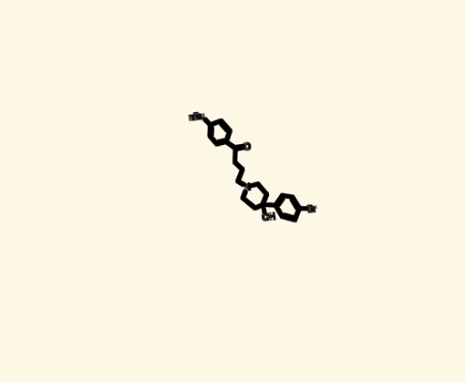 CCCCc1ccc(C(=O)CCCN2CCC(O)(c3ccc(Br)cc3)CC2)cc1